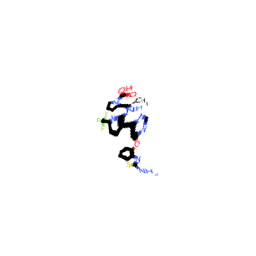 C[C@H](Nc1nc(C(F)(F)F)ccc1-c1cc(Oc2cccc3sc(N)nc23)ncn1)C1CCCN1C(=O)O